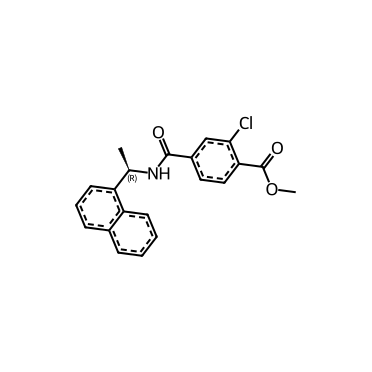 COC(=O)c1ccc(C(=O)N[C@H](C)c2cccc3ccccc23)cc1Cl